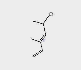 [CH]=C/C(C)=C/C(C)CC